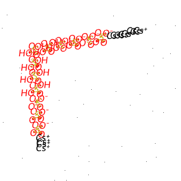 O=S(=O)(O)O.O=S(=O)(O)O.O=S(=O)(O)O.O=S(=O)(O)O.O=S(=O)(O)O.O=S(=O)(O)O.O=S(=O)([O-])[O-].O=S(=O)([O-])[O-].O=S(=O)([O-])[O-].O=S(=O)([O-])[O-].O=S(=O)([O-])[O-].O=S(=O)([O-])[O-].[Cs+].[Cs+].[Cs+].[Cs+].[Cs+].[Cs+].[Cs+].[Cs+].[Cs+].[Cs+].[Cs+].[Cs+]